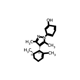 CC1=CCC[C@H](C)[C@@H]1c1c(C)nn(-c2cccc(O)c2)c1C